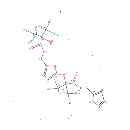 O=C(OCc1ccc(OC(C(=O)OCc2cccs2)(C(F)(F)F)C(F)(F)F)o1)C(O)(C(F)(F)F)C(F)(F)F